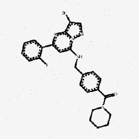 O=C(c1ccc(CNc2cc(-c3ccccc3F)nc3c(Br)cnn23)cc1)N1CCCCC1